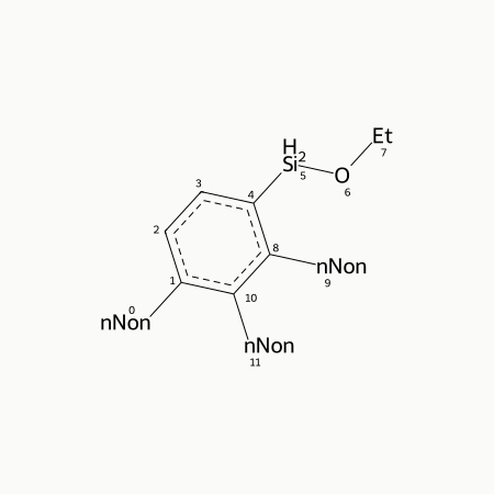 CCCCCCCCCc1ccc([SiH2]OCC)c(CCCCCCCCC)c1CCCCCCCCC